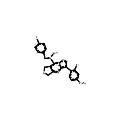 CCCN(Cc1ccc(F)cc1)c1c2c(nc3c(-c4ccc(OC)cc4Cl)cnn13)COC2